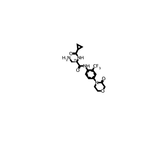 NC[C@@H](NC(=O)C1CC1)C(=O)Nc1ccc(N2CCOCC2=O)cc1C(F)(F)F